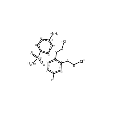 Cc1ccc(CCCl)c(CCCl)c1.Nc1ccc(S(N)(=O)=O)cc1